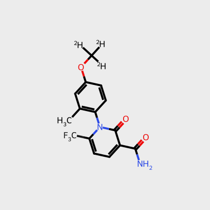 [2H]C([2H])([2H])Oc1ccc(-n2c(C(F)(F)F)ccc(C(N)=O)c2=O)c(C)c1